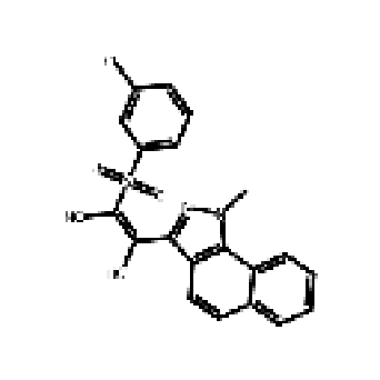 Cn1nc(C(O)=C(C#N)S(=O)(=O)c2cccc(Cl)c2)c2ccc3ccccc3c21